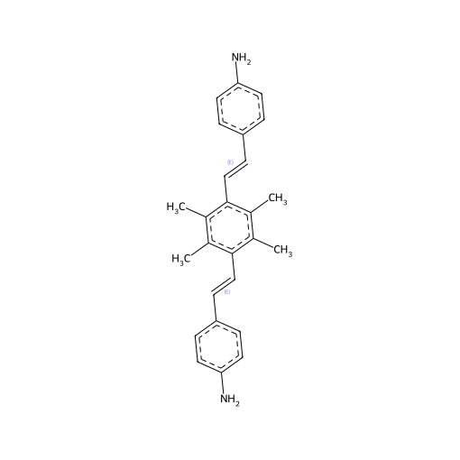 Cc1c(C)c(/C=C/c2ccc(N)cc2)c(C)c(C)c1/C=C/c1ccc(N)cc1